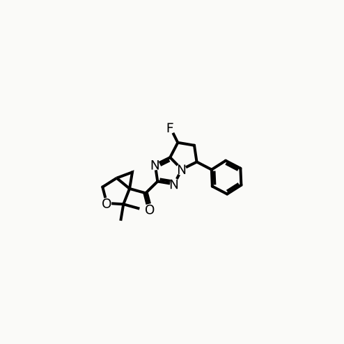 CC1(C)OCC2CC21C(=O)c1nc2n(n1)C(c1ccccc1)CC2F